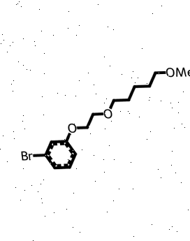 COCCCCCOCCOc1cccc(Br)c1